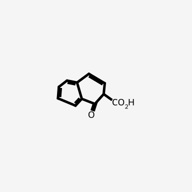 O=C(O)C1C=Cc2ccccc2C1=O